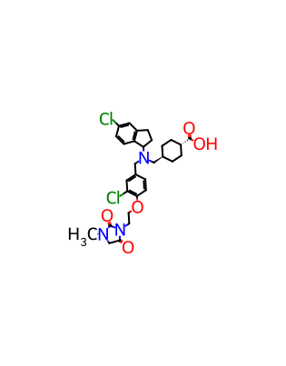 CN1CC(=O)N(CCOc2ccc(CN(C[C@H]3CC[C@H](C(=O)O)CC3)C3CCc4cc(Cl)ccc43)cc2Cl)C1=O